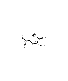 CC[C@H](CC[N+](=O)[O-])C(=O)O